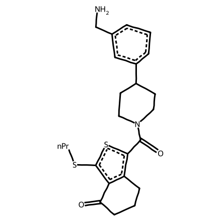 CCCSc1sc(C(=O)N2CCC(c3cccc(CN)c3)CC2)c2c1C(=O)CCC2